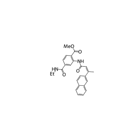 CCNC(=O)c1ccc(C(=O)OC)c(NC(=O)/C=C(/C)c2ccc3ccccc3c2)c1